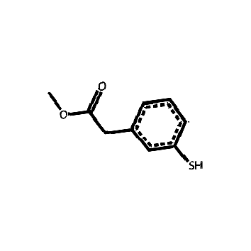 COC(=O)Cc1cc[c]c(S)c1